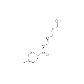 O=C(SCOCCCO)C1CCN(I)CC1